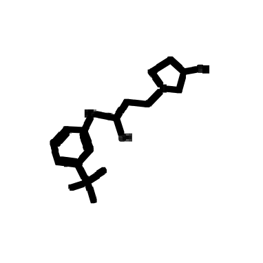 CC(C)(C)c1cccc(NC(O)CCN2CCC(O)C2)c1